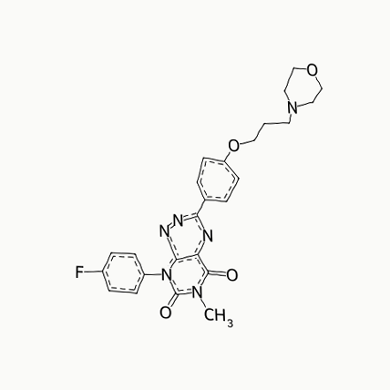 Cn1c(=O)c2nc(-c3ccc(OCCCN4CCOCC4)cc3)nnc2n(-c2ccc(F)cc2)c1=O